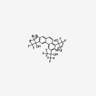 Nc1cc2ccc3c(C(O)(C(F)(F)F)C(F)(F)F)c(N)c(C(O)(C(F)(F)F)C(F)(F)F)cc3c2cc1C(O)(C(F)(F)F)C(F)(F)F